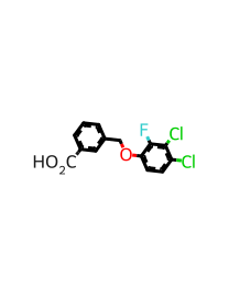 O=C(O)c1cccc(COc2ccc(Cl)c(Cl)c2F)c1